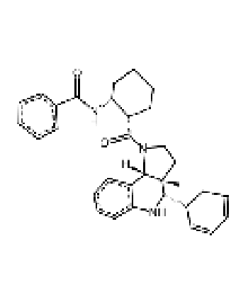 C[C@]12CCN(C(=O)[C@H]3CCCC[C@H]3NC(=O)c3ccccc3)[C@H]1c1ccccc1N[C@H]2C1C=CC=CC1